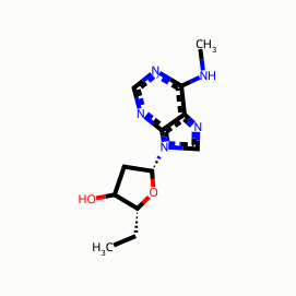 CC[C@H]1O[C@@H](n2cnc3c(NC)ncnc32)CC1O